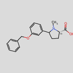 CN1C(c2cccc(OCc3ccccc3)c2)CC[C@H]1C(=O)O